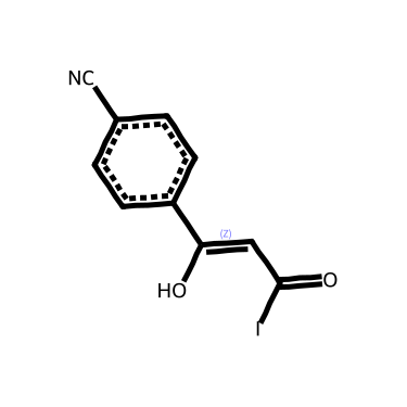 N#Cc1ccc(/C(O)=C/C(=O)I)cc1